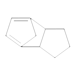 [C]1=C2CC(=C1)C1C[CH]CC21